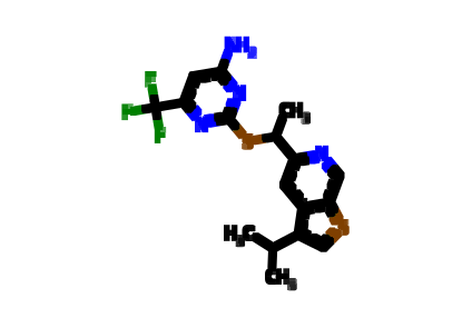 CC(C)c1csc2cnc(C(C)Sc3nc(N)cc(C(F)(F)F)n3)cc12